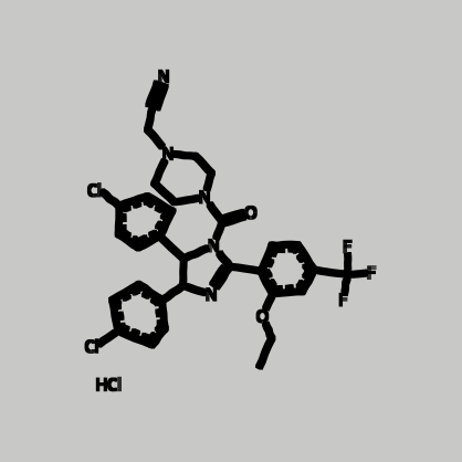 CCOc1cc(C(F)(F)F)ccc1C1=NC(c2ccc(Cl)cc2)C(c2ccc(Cl)cc2)N1C(=O)N1CCN(CC#N)CC1.Cl